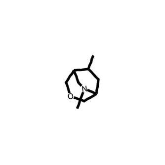 CC1CC2COCC1CN2C